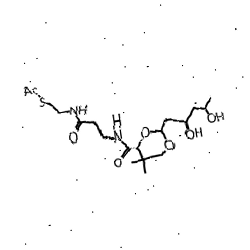 CC(=O)SCCNC(=O)CCNC(=O)[C@@H]1OC(CC(O)CC(C)O)OCC1(C)C